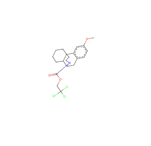 COc1ccc2c(c1)C13CCCCC1C(C2)N(C(=O)OCC(Cl)(Cl)Cl)CC3